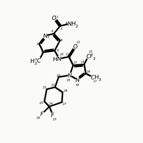 Cc1cnc(C(N)=O)cc1NC(=O)c1c(C(F)(F)F)c(C)nn1CC1CCC(F)(F)CC1